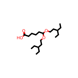 CCC(CC)CCOC(CCCCC(=O)O)OCCC(CC)CC